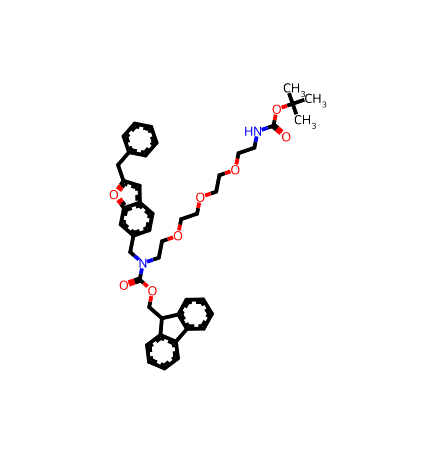 CC(C)(C)OC(=O)NCCOCCOCCOCCN(Cc1ccc2cc(Cc3ccccc3)oc2c1)C(=O)OCC1c2ccccc2-c2ccccc21